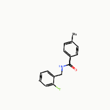 CC(C)(C)c1ccc(C(=O)NCc2cc[c]cc2F)cc1